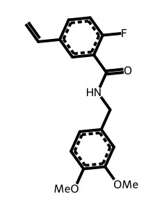 C=Cc1ccc(F)c(C(=O)NCc2ccc(OC)c(OC)c2)c1